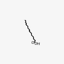 CCCC=CCCC=CCCCCCC(=O)O